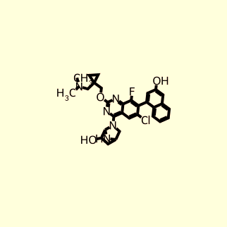 CN(C)CC1(COc2nc(N3CC4CC(O)C3N4)c3cc(Cl)c(-c4cc(O)cc5ccccc45)c(F)c3n2)CC1